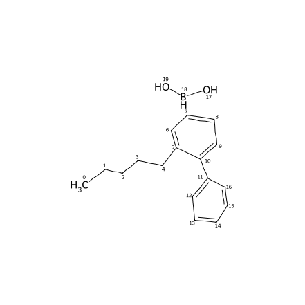 CCCCCc1ccccc1-c1ccccc1.OBO